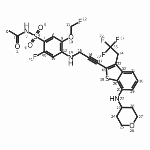 CC(=O)NS(=O)(=O)c1cc(OCF)c(NCC#Cc2sc3c(NC4CCOCC4)cccc3c2CC(F)(F)F)cc1F